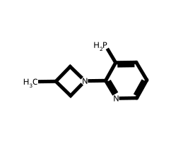 CC1CN(c2ncccc2P)C1